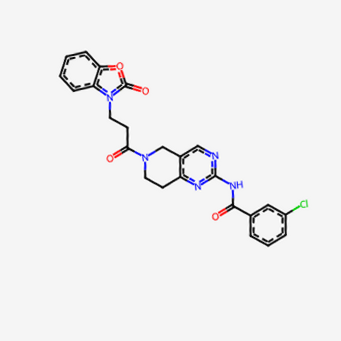 O=C(Nc1ncc2c(n1)CCN(C(=O)CCn1c(=O)oc3ccccc31)C2)c1cccc(Cl)c1